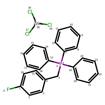 Fc1ccc(C[P+](c2ccccc2)(c2ccccc2)c2ccccc2)cc1.[Cl][Zn-]([Cl])[Cl]